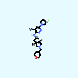 F[C@H]1CCN(c2cc(C(F)(F)F)c(N[C@H]3C[C@@H]4CN(CC5CCOCC5)C[C@@H]4C3)nn2)C1